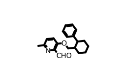 Cc1ccc(OCC2CCCCC2c2ccccc2)c(C=O)n1